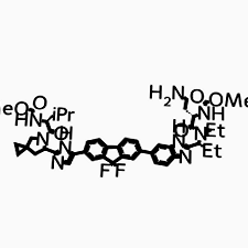 CC[C@@H](c1nc2ccc(-c3ccc4c(c3)C(F)(F)c3cc(-c5cnc(C6CC7(CC7)CN6C(=O)[C@@H](NC(=O)OC)C(C)C)[nH]5)ccc3-4)cc2[nH]1)N(CC)C(=O)[C@H](CCN)NC(=O)OC